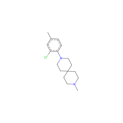 Cc1ccc(N2CCC3(CCN(C)CC3)CC2)c(Cl)c1